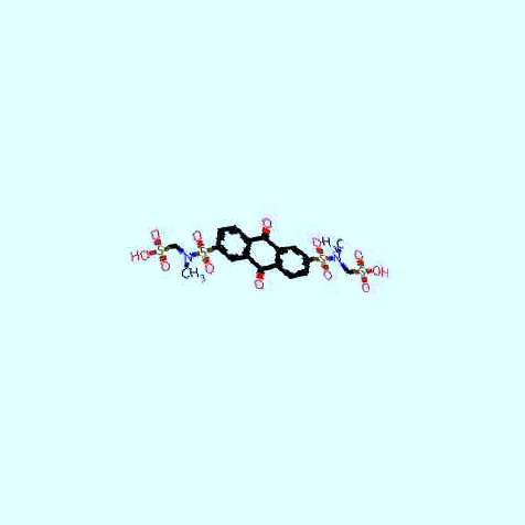 CN(CS(=O)(=O)O)S(=O)(=O)c1ccc2c(c1)C(=O)c1ccc(S(=O)(=O)N(C)CS(=O)(=O)O)cc1C2=O